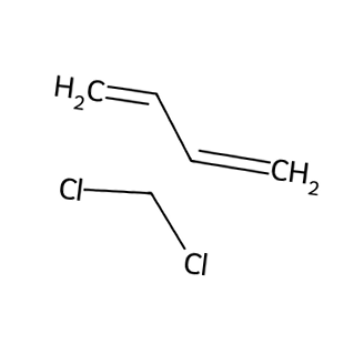 C=CC=C.ClCCl